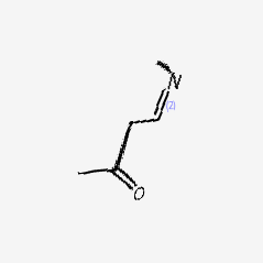 C/N=C\CC(C)=O